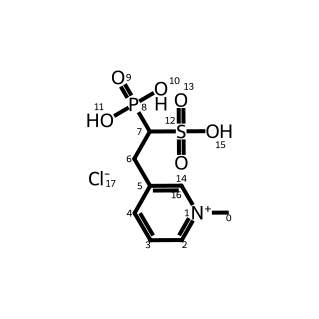 C[n+]1cccc(CC(P(=O)(O)O)S(=O)(=O)O)c1.[Cl-]